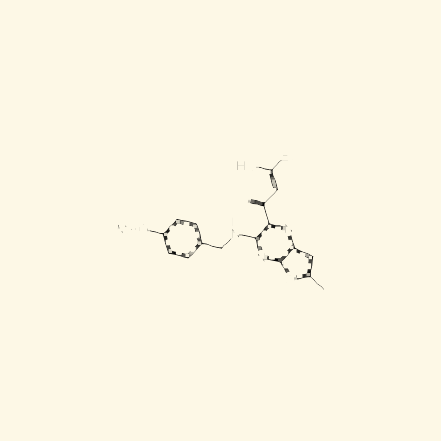 CCC(O)=CC(=O)c1nc2cc(C)oc2nc1NCc1ccc(OC)cc1